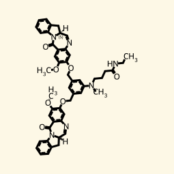 CCNC(=O)CCCN(C)c1cc(COc2cc3c(cc2OC)C(=O)N2c4ccccc4C[C@H]2C=N3)cc(COc2cc3c(cc2OC)C(=O)N2c4ccccc4C[C@H]2C=N3)c1